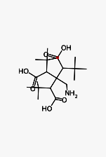 CC(C)(C)C(C(=O)O)C(CN)(C(C(=O)O)C(C)(C)C)C(C(=O)O)C(C)(C)C